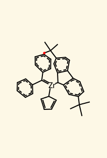 CC(C)(C)c1ccc2c(c1)[CH]([Zr](=[C](c1ccccc1)c1ccccc1)[CH]1C=CC=C1)c1cc(C(C)(C)C)ccc1-2